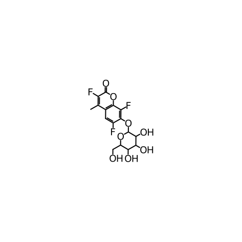 Cc1c(F)c(=O)oc2c(F)c(OC3OC(CO)C(O)C(O)C3O)c(F)cc12